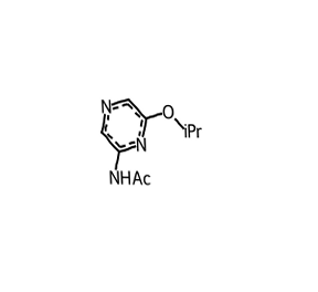 CC(=O)Nc1cncc(OC(C)C)n1